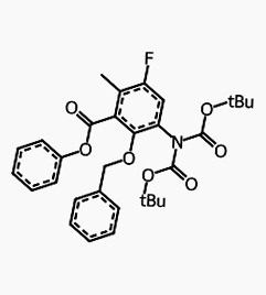 Cc1c(F)cc(N(C(=O)OC(C)(C)C)C(=O)OC(C)(C)C)c(OCc2ccccc2)c1C(=O)Oc1ccccc1